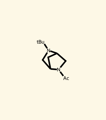 CC(=O)N1CC2CC1CN2C(C)(C)C